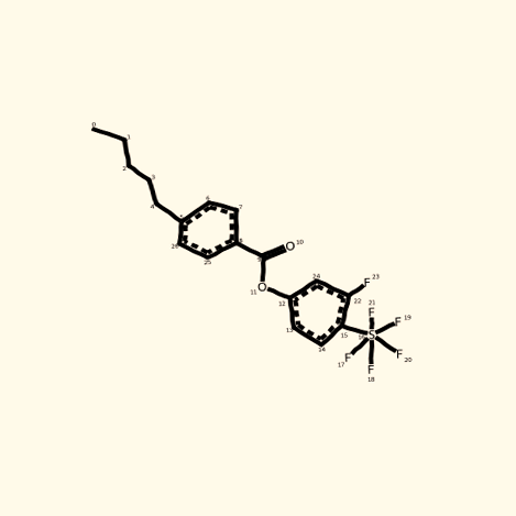 CCCCCc1ccc(C(=O)Oc2ccc(S(F)(F)(F)(F)F)c(F)c2)cc1